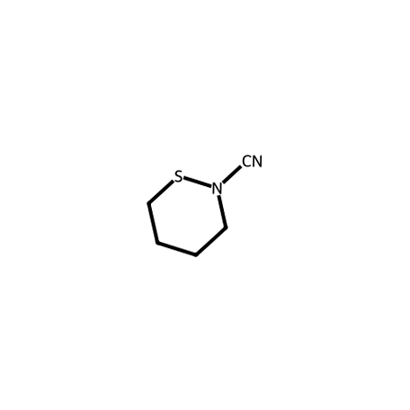 N#CN1CCCCS1